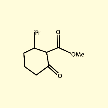 COC(=O)C1C(=O)CCCC1C(C)C